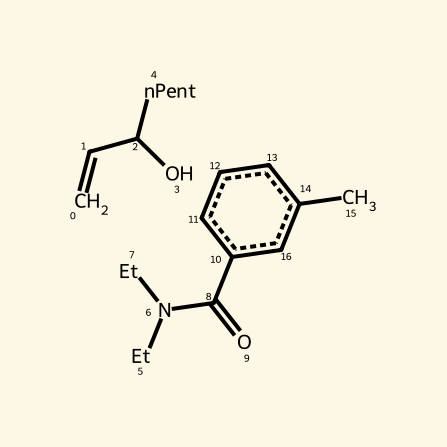 C=CC(O)CCCCC.CCN(CC)C(=O)c1cccc(C)c1